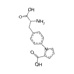 NC(Cc1ccc(-n2cccc2C(=O)O)cc1)C(=O)O